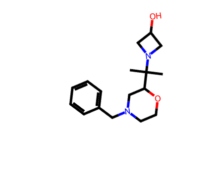 CC(C)(C1CN(Cc2ccccc2)CCO1)N1CC(O)C1